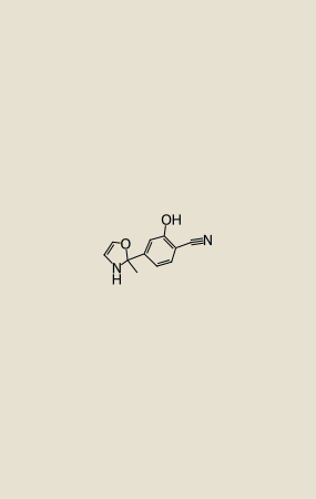 CC1(c2ccc(C#N)c(O)c2)NC=CO1